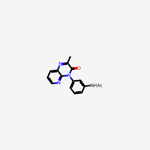 CC(=O)Nc1cccc(-n2c(=O)c(C)nc3cccnc32)c1